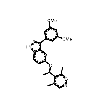 COc1cc(OC)cc(-c2n[nH]c3ccc(OC(C)c4c(C)cnnc4C)cc23)c1